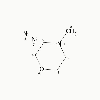 CN1CCOCC1.[N].[N]